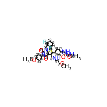 COCCCNCc1c(-c2ccc(NC(=O)NOC)cc2)sc2c1c(=O)n(-c1ccc(OC)cc1)c(=O)n2Cc1c(F)cccc1F